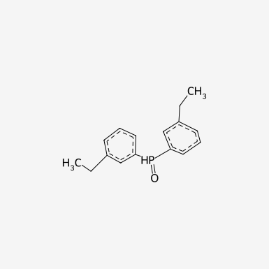 CCc1cccc([PH](=O)c2cccc(CC)c2)c1